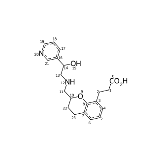 O=C(O)CCc1cccc2c1OC(CNCC(O)c1cccnc1)CC2